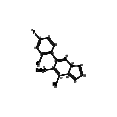 CCOC(=O)c1c(-c2ccc(F)cc2Cl)nn2cccc2c1C(C)C